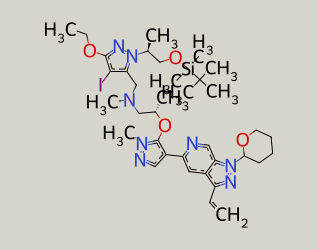 C=Cc1nn(C2CCCCO2)c2cnc(-c3cnn(C)c3O[C@@H](C)CN(C)Cc3c(I)c(OCC)nn3[C@@H](C)CO[Si](C)(C)C(C)(C)C)cc12